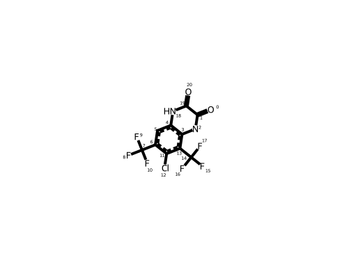 O=C1[N]c2c(cc(C(F)(F)F)c(Cl)c2C(F)(F)F)NC1=O